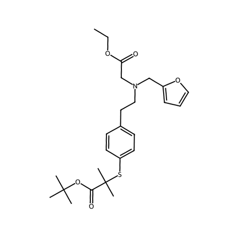 CCOC(=O)CN(CCc1ccc(SC(C)(C)C(=O)OC(C)(C)C)cc1)Cc1ccco1